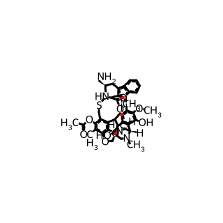 COc1c(C)cc2c(c1O)[C@H]1[C@H](C)N(C3COC(=O)[C@]4(CSCc5c(OC(C)=O)c(C)c6c(c53)OCO6)N[C@@H](CN)Cc3c4[nH]c4ccccc34)C(O)(C2)CN1C